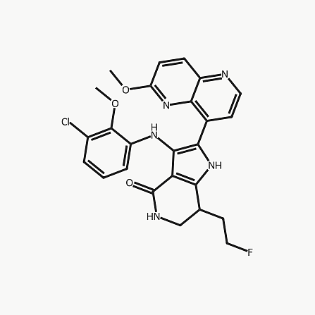 COc1ccc2nccc(-c3[nH]c4c(c3Nc3cccc(Cl)c3OC)C(=O)NCC4CCF)c2n1